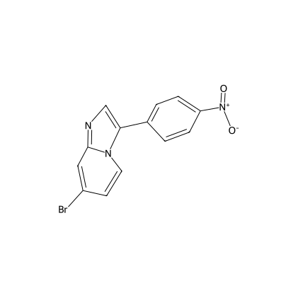 O=[N+]([O-])c1ccc(-c2cnc3cc(Br)ccn23)cc1